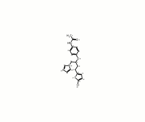 CC(=O)Nc1ccc(OC(CCc2ccc(Cl)s2)Cn2ccnc2)cc1